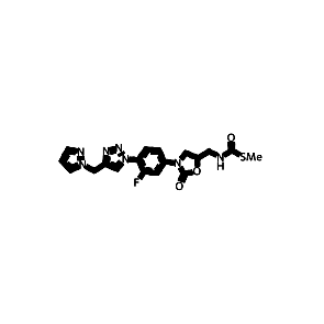 CSC(=O)NCC1CN(c2ccc(-n3cc(Cn4cccn4)nn3)c(F)c2)C(=O)O1